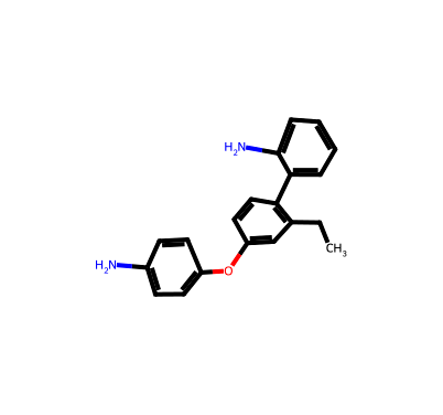 CCc1cc(Oc2ccc(N)cc2)ccc1-c1ccccc1N